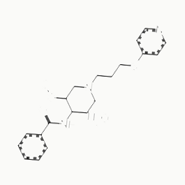 COC1CN(CCCSc2ccncc2)CCC1NC(=O)c1ccccc1.O